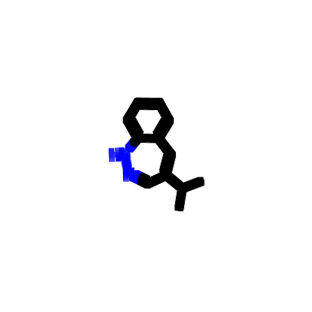 CC(C)C1=Cc2ccccc2NN=C1